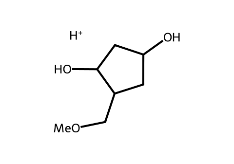 COCC1CC(O)CC1O.[H+]